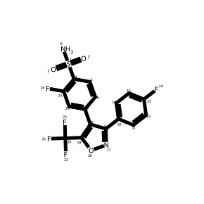 NS(=O)(=O)c1ccc(-c2c(-c3ccc(F)cc3)noc2C(F)(F)F)cc1F